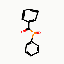 O=C(c1ccccc1)[P](=O)c1ccccc1